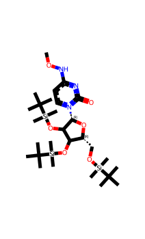 CONc1ccn([C@@H]2O[C@H](CO[Si](C)(C)C(C)(C)C)C(O[Si](C)(C)C(C)(C)C)C2O[Si](C)(C)C(C)(C)C)c(=O)n1